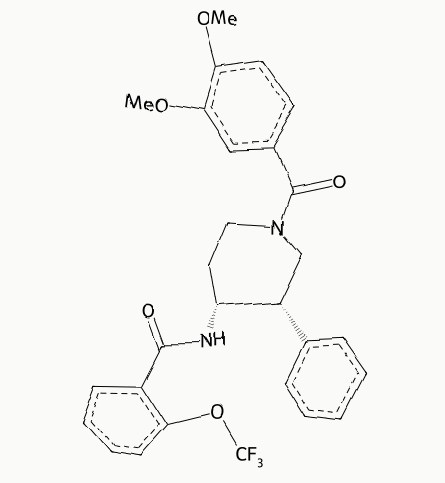 COc1ccc(C(=O)N2CC[C@@H](NC(=O)c3ccccc3OC(F)(F)F)[C@@H](c3ccccc3)C2)cc1OC